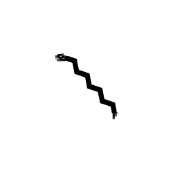 FCCCCCC[CH2][Sb]